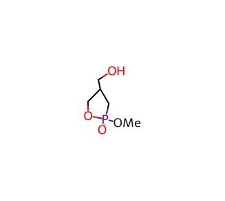 COP1(=O)CC(CO)CO1